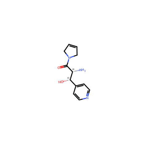 N[C@@H](C(=O)N1CC=CC1)[C@@H](O)c1ccncc1